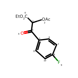 CCOC(=O)C(OC(C)=O)C(=O)c1ccc(F)cc1